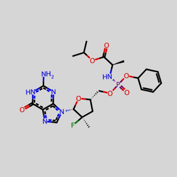 CC(C)OC(=O)[C@@H](C)N[P@](=O)(OC[C@@H]1C[C@@](C)(F)[C@H](n2cnc3c(=O)[nH]c(N)nc32)O1)OC1C=CC=CC1